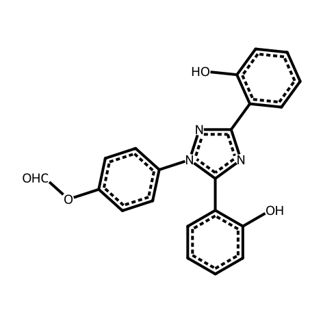 O=COc1ccc(-n2nc(-c3ccccc3O)nc2-c2ccccc2O)cc1